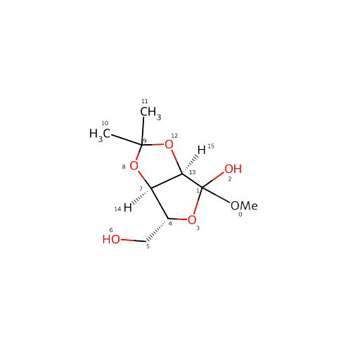 COC1(O)O[C@H](CO)[C@H]2OC(C)(C)O[C@H]21